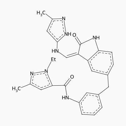 CCn1nc(C)cc1C(=O)Nc1cccc(Cc2ccc3c(c2)/C(=C/Nc2cc(C)n[nH]2)C(=O)N3)c1